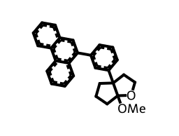 COC12CCCC1(c1cccc(-c3cc4ccccc4c4ccccc34)c1)CCO2